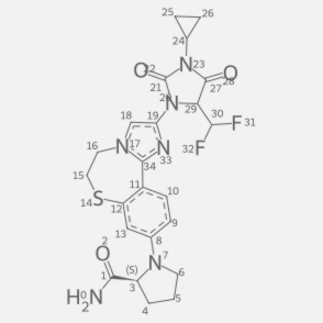 NC(=O)[C@@H]1CCCN1c1ccc2c(c1)SCCn1cc(N3C(=O)N(C4CC4)C(=O)C3C(F)F)nc1-2